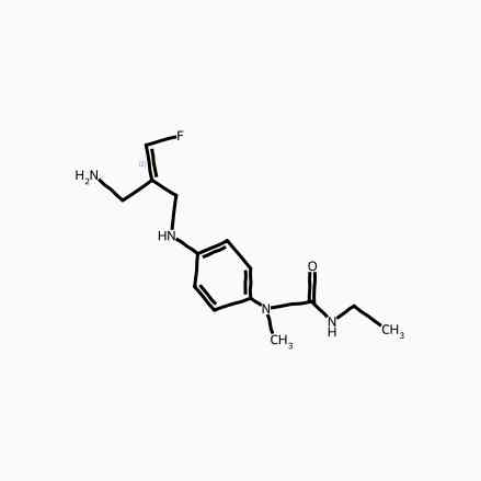 CCNC(=O)N(C)c1ccc(NC/C(=C\F)CN)cc1